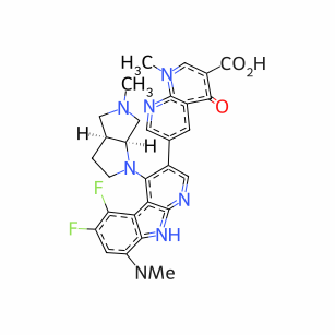 CNc1cc(F)c(F)c2c1[nH]c1ncc(-c3cnc4c(c3)c(=O)c(C(=O)O)cn4C)c(N3CC[C@H]4CN(C)C[C@H]43)c12